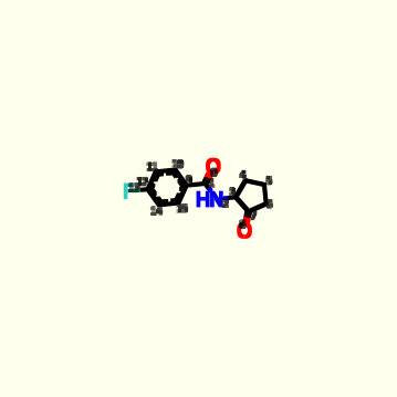 O=C(NC1CCCC1=O)c1ccc(F)cc1